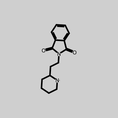 O=C1c2ccccc2C(=O)N1CCC1CCCC[N]1